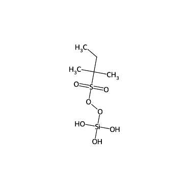 CCC(C)(C)S(=O)(=O)OO[Si](O)(O)O